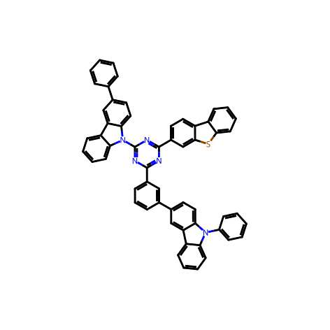 c1ccc(-c2ccc3c(c2)c2ccccc2n3-c2nc(-c3cccc(-c4ccc5c(c4)c4ccccc4n5-c4ccccc4)c3)nc(-c3ccc4c(c3)sc3ccccc34)n2)cc1